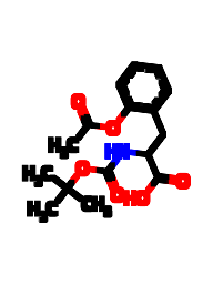 CC(=O)Oc1ccccc1CC(NC(=O)OC(C)(C)C)C(=O)O